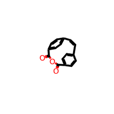 O=C1OC(=O)c2ccc(cc2)C=Cc2ccc1cc2